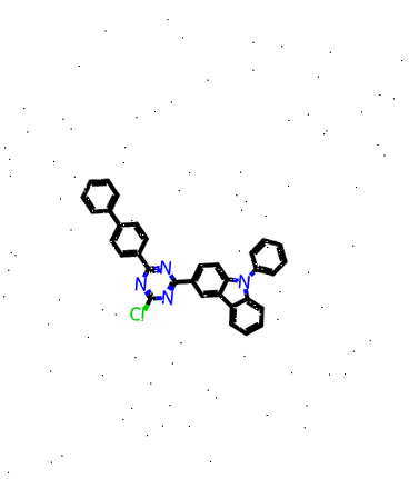 Clc1nc(-c2ccc(-c3ccccc3)cc2)nc(-c2ccc3c(c2)c2ccccc2n3-c2ccccc2)n1